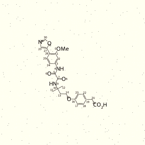 COc1cc(NC(=O)C(=O)NC(C)(C)CCOc2ccc(CC(=O)O)cc2)ccc1-c1cnco1